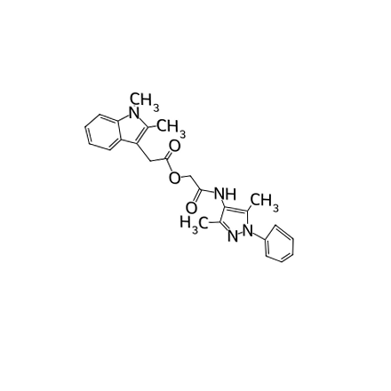 Cc1nn(-c2ccccc2)c(C)c1NC(=O)COC(=O)Cc1c(C)n(C)c2ccccc12